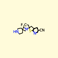 N#Cc1cnc2c(c1)CC(CC(F)(F)F)(N1CC3(CCNCC3)C1)S2